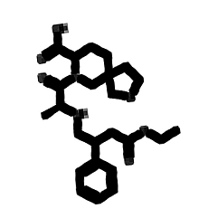 CCOC(=O)CC(CN[C@@H](C)C(=O)N1CC2(CCOC2)CCC1C(=O)O)c1ccccc1